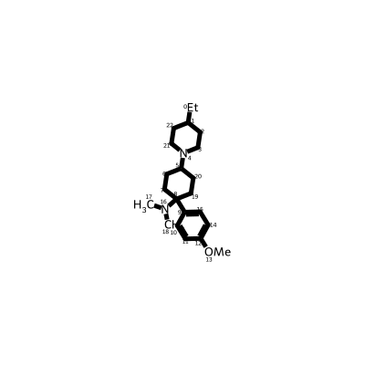 CCC1CCN(C2CCC(c3ccc(OC)cc3)(N(C)C)CC2)CC1